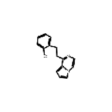 CCc1ccccc1CCc1nccn2cccc12